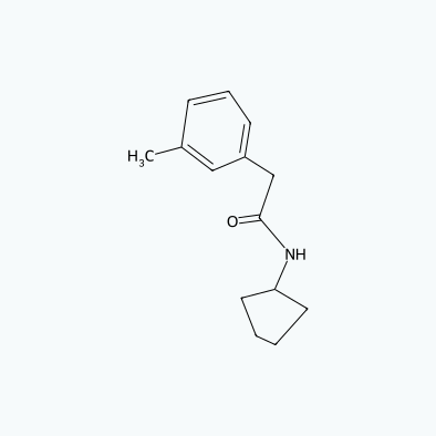 Cc1cccc(CC(=O)NC2CCCC2)c1